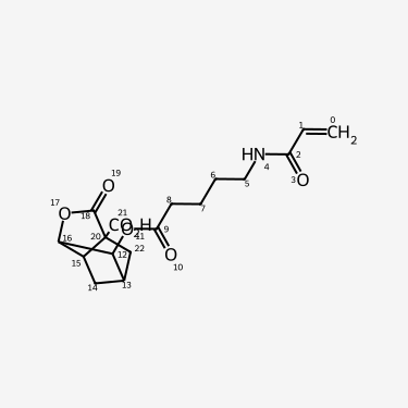 C=CC(=O)NCCCCC(=O)OC1C2CC3C1OC(=O)C3(C(=O)O)C2